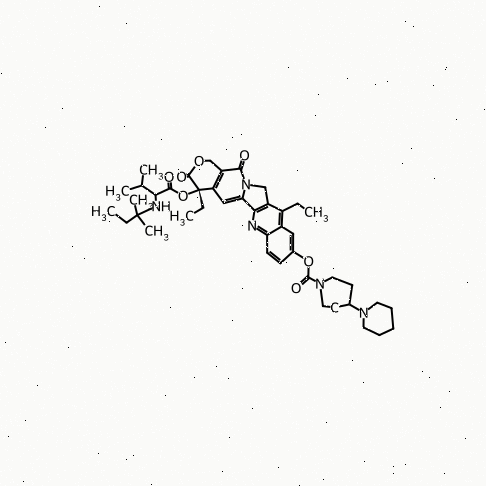 CCc1c2c(nc3ccc(OC(=O)N4CCC(N5CCCCC5)CC4)cc13)-c1cc3c(c(=O)n1C2)COC(=O)[C@@]3(CC)OC(=O)C(NC(C)(C)CC)C(C)C